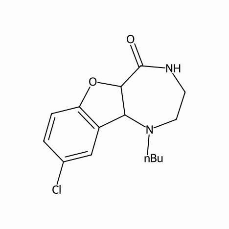 CCCCN1CCNC(=O)C2Oc3ccc(Cl)cc3C21